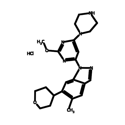 COc1nc(N2CCNCC2)cc(-n2ncc3cc(C)c(C4CCOCC4)cc32)n1.Cl